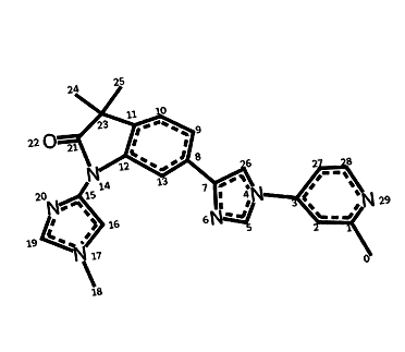 Cc1cc(-n2cnc(-c3ccc4c(c3)N(c3cn(C)cn3)C(=O)C4(C)C)c2)ccn1